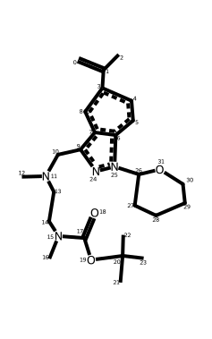 C=C(C)c1ccc2c(c1)c(CN(C)CCN(C)C(=O)OC(C)(C)C)nn2C1CCCCO1